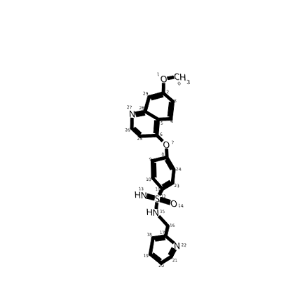 COc1ccc2c(Oc3ccc(S(=N)(=O)NCc4ccccn4)cc3)ccnc2c1